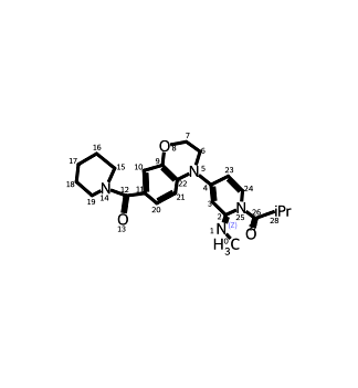 C/N=c1/cc(N2CCOc3cc(C(=O)N4CCCCC4)ccc32)ccn1C(=O)C(C)C